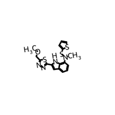 COCc1nnc(-c2cc3cccc(N(C)Sc4cccs4)c3[nH]2)s1